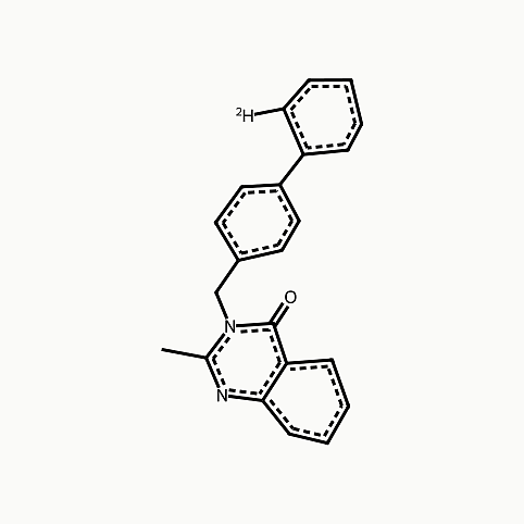 [2H]c1ccccc1-c1ccc(Cn2c(C)nc3ccccc3c2=O)cc1